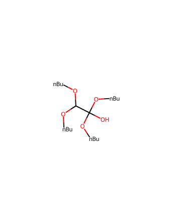 CCCCOC(OCCCC)C(O)(OCCCC)OCCCC